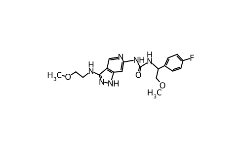 COCCNc1n[nH]c2cc(NC(=O)NC(COC)c3ccc(F)cc3)ncc12